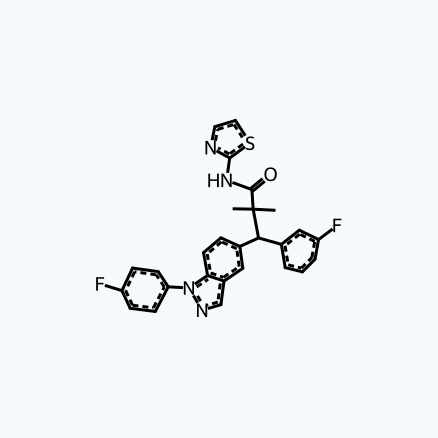 CC(C)(C(=O)Nc1nccs1)C(c1cccc(F)c1)c1ccc2c(cnn2-c2ccc(F)cc2)c1